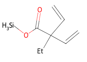 C=CC(C=C)(CC)C(=O)O[SiH3]